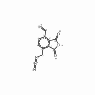 [N-]=[N+]=NCc1ccc(C=N)c2c1C(=O)OC2=O